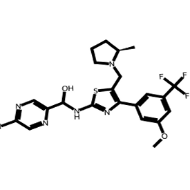 COc1cc(-c2nc(NC(O)c3cnc(Cl)cn3)sc2CN2CCC[C@H]2C)cc(C(F)(F)F)c1